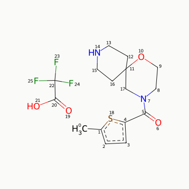 Cc1ccc(C(=O)N2CCOC3(CCNCC3)C2)s1.O=C(O)C(F)(F)F